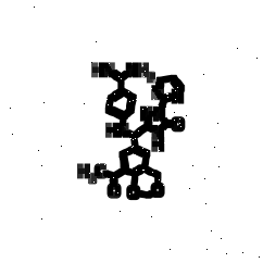 CC(=O)c1cc(C(Nc2ccc(C(=N)N)cc2)c2nn(-c3ncccn3)c(=O)[nH]2)cc2c1OCOC2